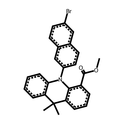 COC(=O)c1cccc2c1N(c1ccc3cc(Br)ccc3c1)c1ccccc1C2(C)C